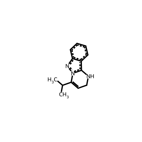 CC(C)C1=CCNc2c3ccccc3nn21